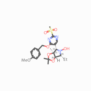 CC[C@@H]1[C@H]2OC(C)(C)O[C@@]2(C)[C@H](c2cnc(S(C)(=O)=O)nc2OCc2ccc(OC)cc2)N1O